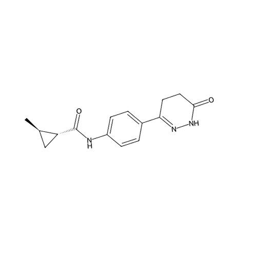 C[C@@H]1C[C@H]1C(=O)Nc1ccc(C2=NNC(=O)CC2)cc1